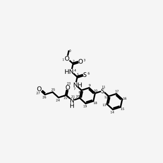 COC(=O)NC(=S)Nc1cc(Sc2ccccc2)ccc1NC(=O)CCC=O